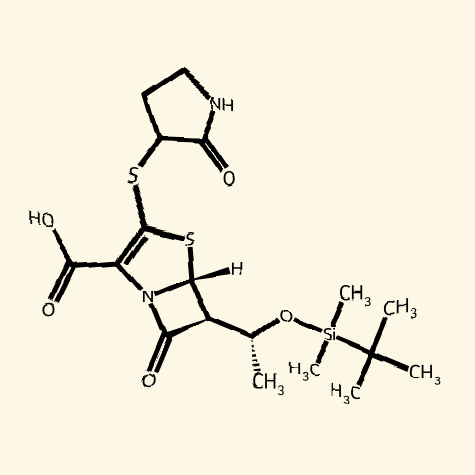 C[C@@H](O[Si](C)(C)C(C)(C)C)[C@H]1C(=O)N2C(C(=O)O)=C(SC3CCNC3=O)S[C@H]12